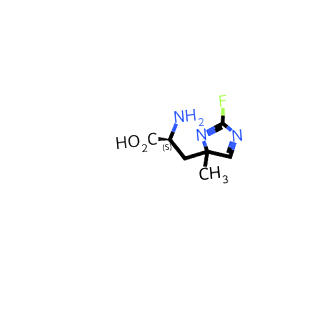 CC1(C[C@H](N)C(=O)O)C=NC(F)=N1